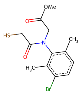 COC(=O)CN(C(=O)CS)c1c(C)ccc(Br)c1C